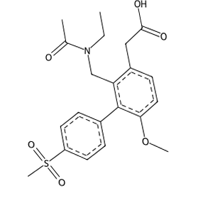 CCN(Cc1c(CC(=O)O)ccc(OC)c1-c1ccc(S(C)(=O)=O)cc1)C(C)=O